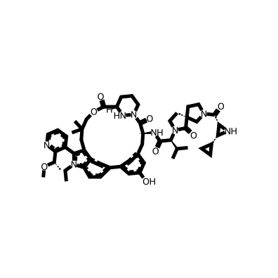 CCn1c(-c2cccnc2[C@H](C)OC)c2c3cc(ccc31)-c1cc(O)cc(c1)C[C@H](NC(=O)[C@H](C(C)C)N1CC[C@@]3(CCN(C(=O)[C@@H]4N[C@@H]4C4CC4)C3)C1=O)C(=O)N1CCC[C@H](N1)C(=O)OCC(C)(C)C2